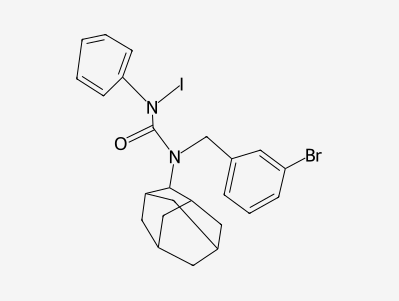 O=C(N(I)c1ccccc1)N(Cc1cccc(Br)c1)C1C2CC3CC(C2)CC1C3